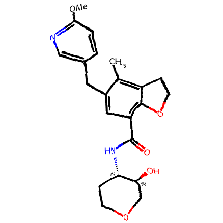 COc1ccc(Cc2cc(C(=O)N[C@H]3CCOC[C@@H]3O)c3c(c2C)CCO3)cn1